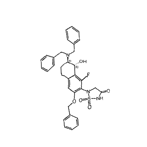 O=C1CN(c2c(OCc3ccccc3)cc3c(c2F)[C@@H](O)[C@H](N(Cc2ccccc2)Cc2ccccc2)CC3)S(=O)(=O)N1